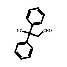 N#CC(CC=O)(c1ccccc1)c1ccccc1